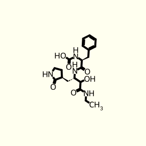 CCNC(=O)C(O)[C@H](C[C@@H]1CCNC1=O)NC(=O)[C@H](Cc1ccccc1)NC(=O)O